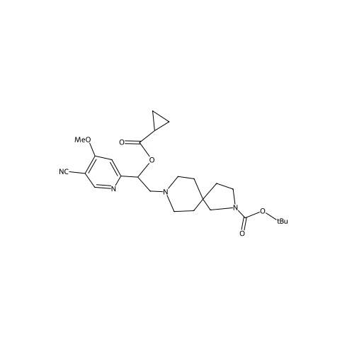 COc1cc(C(CN2CCC3(CC2)CCN(C(=O)OC(C)(C)C)C3)OC(=O)C2CC2)ncc1C#N